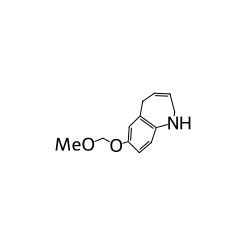 COCOc1ccc2c(c1)CC=CCN2